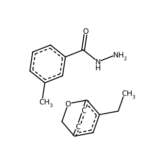 CCc1cc2ccc1OC2.Cc1cccc(C(=O)NN)c1